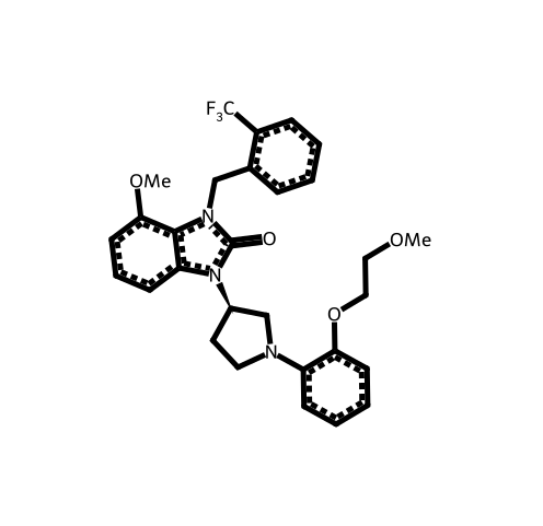 COCCOc1ccccc1N1CC[C@@H](n2c(=O)n(Cc3ccccc3C(F)(F)F)c3c(OC)cccc32)C1